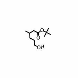 CC(CCCO)CC(=O)OC(C)(C)C